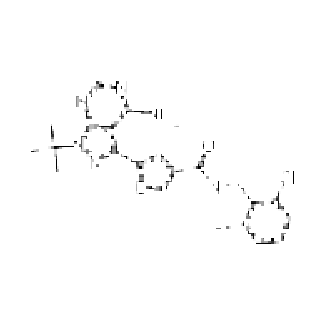 CC(C)(C)n1nc(-c2cc(C(=O)NCc3c(F)cccc3Cl)co2)c2c(N)ncnc21